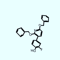 Oc1ccc(-c2ccc(OCc3ccccc3)nc2OCc2ccccc2)cc1F